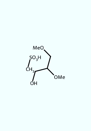 COCC(CO)OC.CS(=O)(=O)O